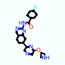 O=C(Nc1ncc2ccc(-c3cncc(OC4CNC4)n3)cc2n1)c1ccc(F)cc1